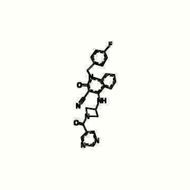 N#Cc1c(NC2CN(C(=O)c3cncnc3)C2)c2ccccc2n(Cc2ccc(F)cc2)c1=O